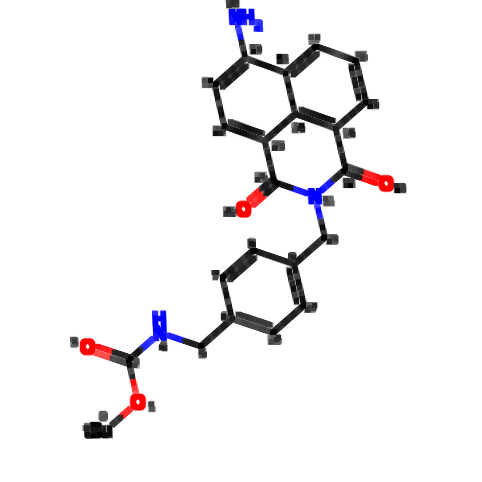 CC(C)(C)OC(=O)NCc1ccc(CN2C(=O)c3cccc4c(N)ccc(c34)C2=O)cc1